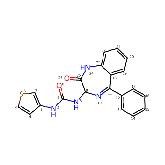 O=C(Nc1ccsc1)NC1N=C(c2ccccc2)c2ccccc2NC1=O